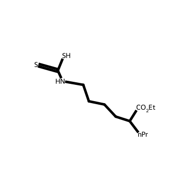 CCCC(CCCCNC(=S)S)C(=O)OCC